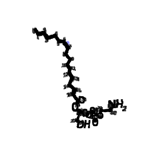 CCCCCC/C=C\CCCCCCCCCC(=O)O[C@H](CO)COP(=O)(O)OCCN